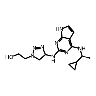 C[C@H](Nc1nc(NC2CN(CCO)N=N2)nc2[nH]ccc12)C1CC1